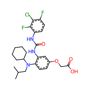 CC(C)CN(c1ccc(OCC(=O)O)cc1NC(=O)Nc1ccc(F)c(Cl)c1F)C1CCCCC1